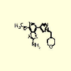 COc1ncc(-c2cnn(CC3CCOCC3)c2)c2sc(N)nc12